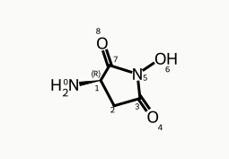 N[C@@H]1CC(=O)N(O)C1=O